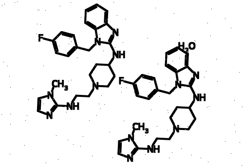 Cn1ccnc1NCCN1CCC(Nc2nc3ccccc3n2Cc2ccc(F)cc2)CC1.Cn1ccnc1NCCN1CCC(Nc2nc3ccccc3n2Cc2ccc(F)cc2)CC1.O